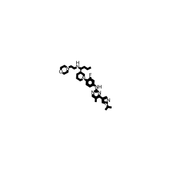 CCCC(NCCN1CCOCC1)[C@@H]1CCCN(c2ccc(Nc3ncc(C)c(-c4cnn(C(C)C)c4)n3)cc2F)C1